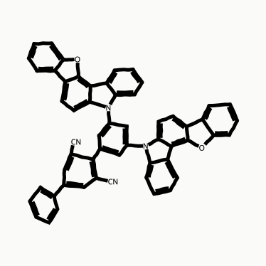 N#Cc1cc(-c2ccccc2)cc(C#N)c1-c1cc(-n2c3ccccc3c3c4oc5ccccc5c4ccc32)cc(-n2c3ccccc3c3c4oc5ccccc5c4ccc32)c1